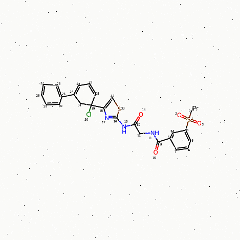 CC(C)S(=O)(=O)c1cccc(C(=O)NCC(=O)Nc2nc(C3(Cl)C=CC=C(c4ccccc4)C3)cs2)c1